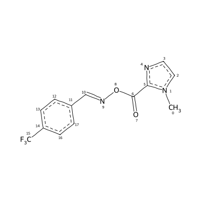 Cn1ccnc1C(=O)ON=Cc1ccc(C(F)(F)F)cc1